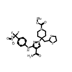 CC(C)(C)OC(=O)N1CCC(CC2SCCS2)(n2cc(C(N)=O)c(Nc3ccc(C(F)(F)[SH](=O)=O)cc3)n2)CC1